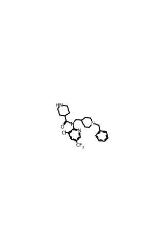 O=C(C1CCNCC1)N(CC1CCN(Cc2ccccc2)CC1)c1ncc(C(F)(F)F)cc1Cl